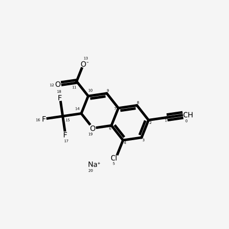 C#Cc1cc(Cl)c2c(c1)C=C(C(=O)[O-])C(C(F)(F)F)O2.[Na+]